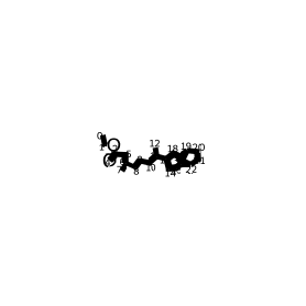 CCOC(=O)C=C(C)C=CC=C(C)c1ccc2c(c1)C1CCC2C1